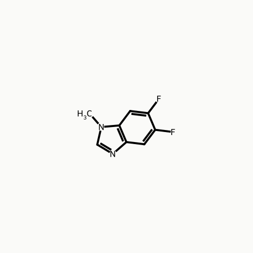 Cn1cnc2cc(F)c(F)cc21